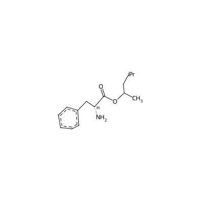 CC(C)CC(C)OC(=O)[C@H](N)Cc1ccccc1